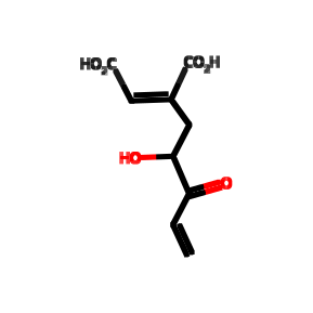 C=CC(=O)C(O)C/C(=C/C(=O)O)C(=O)O